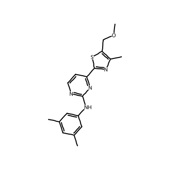 COCc1sc(-c2ccnc(Nc3cc(C)cc(C)c3)n2)nc1C